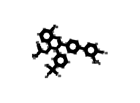 Cc1cc(-c2ccc(C3=Nc4c(F)cccc4C(CC(=O)O)N3c3cccc(C(F)(F)F)c3)cc2)ccc1F